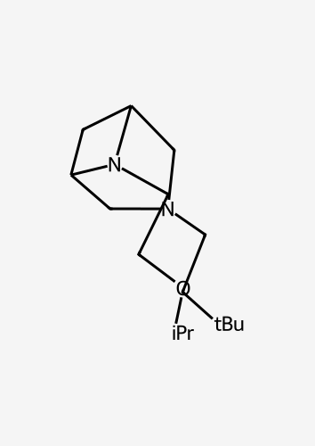 CC(C)OCCN1C2CC1CN(CCC(C)(C)C)C2